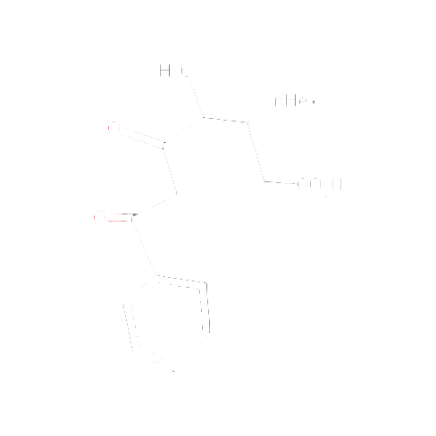 CCCCCCC(CC(=O)O)C(C)C(=O)CC(=O)c1ccccc1